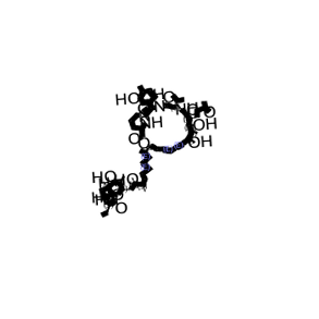 CC[C@H]1C[C@@H]2C[C@H]3[C@@H](O)[C@@H](C)[C@H](C[C@H](O)[C@@H](C)CC/C=C/C=C(\C)[C@@H]4C/C=C/C=C/[C@H](O)[C@H](C)[C@@H](O)[C@@H](CCC(C)=O)C(=O)N[C@@H](C(C)C)C(=O)NC(c5ccc(C)c(O)c5)C(=O)N5CCCC(N5)C(=O)O4)O[C@]23NC1=O